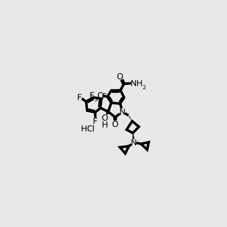 Cl.NC(=O)c1cc2c(c(C(F)(F)F)c1)C(O)(c1c(F)cc(F)cc1F)C(=O)N2C[C@H]1C[C@H](N(C2CC2)C2CC2)C1